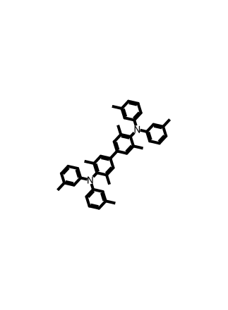 Cc1cccc(N(c2cccc(C)c2)c2c(C)cc(-c3cc(C)c(N(c4cccc(C)c4)c4cccc(C)c4)c(C)c3)cc2C)c1